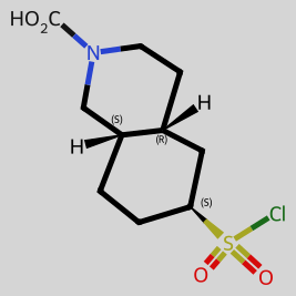 O=C(O)N1CC[C@@H]2C[C@@H](S(=O)(=O)Cl)CC[C@@H]2C1